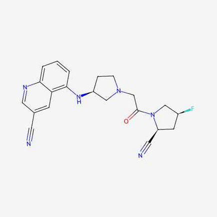 N#Cc1cnc2cccc(N[C@H]3CCN(CC(=O)N4C[C@@H](F)C[C@H]4C#N)C3)c2c1